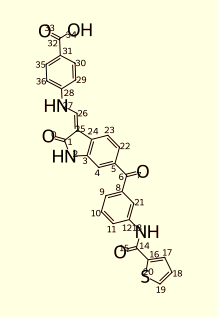 O=C1Nc2cc(C(=O)c3cccc(NC(=O)c4cccs4)c3)ccc2C1=CNc1ccc(C(=O)O)cc1